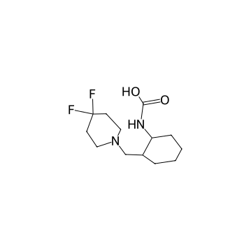 O=C(O)NC1CCCCC1CN1CCC(F)(F)CC1